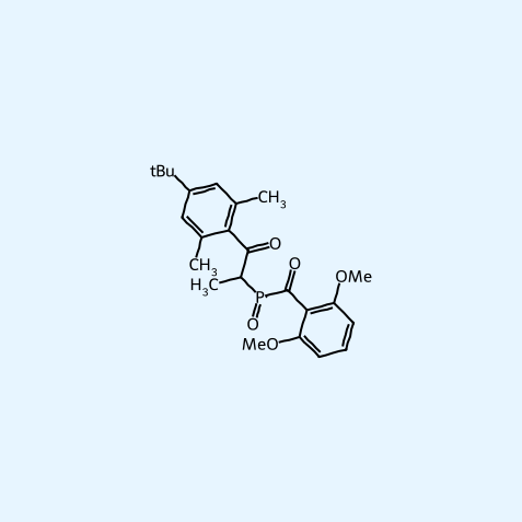 COc1cccc(OC)c1C(=O)[P](=O)C(C)C(=O)c1c(C)cc(C(C)(C)C)cc1C